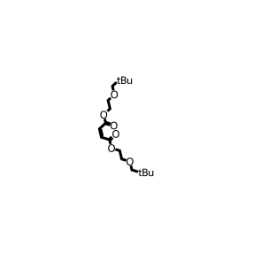 CC(C)(C)COCCOC(=O)/C=C\C(=O)OCCOCC(C)(C)C